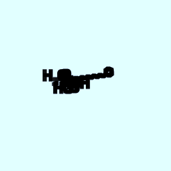 COC(=O)CC(O)(CCCCCCCCCCC1CCCCC1)CC(=O)O